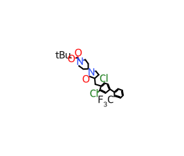 CC(C)(C)OC(=O)N1CCC(N2CCC(Cc3c(Cl)cc(-c4ccccc4C(F)(F)F)cc3Cl)C2=O)CC1